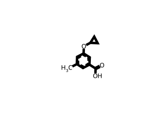 Cc1cc(OC2CC2)cc(C(=O)O)c1